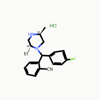 CC[C@@H]1CN[C@@H](C)CN1C(c1ccc(F)cc1)c1ccccc1C#N.Cl